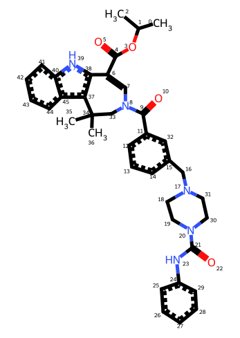 CC(C)OC(=O)C1=CN(C(=O)c2cccc(CN3CCN(C(=O)Nc4ccccc4)CC3)c2)CC(C)(C)c2c1[nH]c1ccccc21